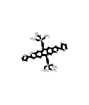 CC[Si](C#Cc1c2cc3cc(-c4cccs4)sc3cc2c(C#C[Si](CC)(CC)CC)c2cc3cc(-c4cccs4)sc3cc12)(CC)CC